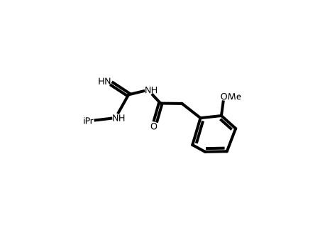 COc1ccccc1CC(=O)NC(=N)NC(C)C